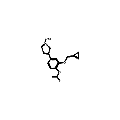 O=CN1CCC(c2ccc(OC(F)F)c(OCC3CC3)c2)C1